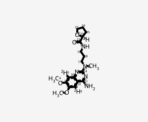 [2H]c1c(OC)c(OC)c([2H])c2c(N)nc(N(C)CCCNC(=O)C3([2H])CCCO3)nc12